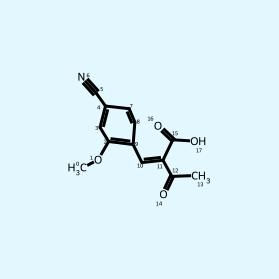 COc1cc(C#N)ccc1C=C(C(C)=O)C(=O)O